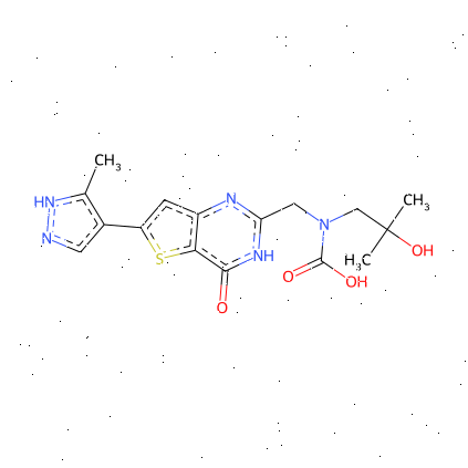 Cc1[nH]ncc1-c1cc2nc(CN(CC(C)(C)O)C(=O)O)[nH]c(=O)c2s1